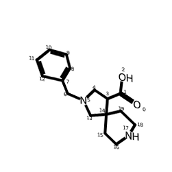 O=C(O)C1CN(Cc2ccccc2)CC12CCNCC2